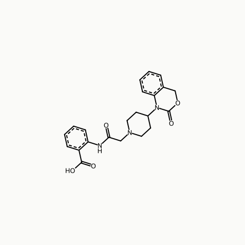 O=C(CN1CCC(N2C(=O)OCc3ccccc32)CC1)Nc1ccccc1C(=O)O